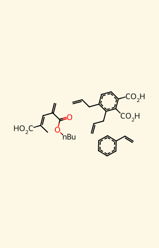 C=C(C=C(C)C(=O)O)C(=O)OCCCC.C=CCc1ccc(C(=O)O)c(C(=O)O)c1CC=C.C=Cc1ccccc1